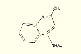 CC(=O)Nc1cc(C)nc2ccccc12